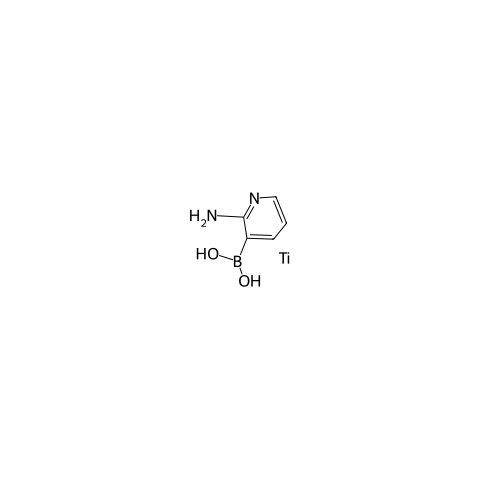 Nc1ncccc1B(O)O.[Ti]